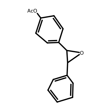 CC(=O)Oc1ccc(C2OC2c2ccccc2)cc1